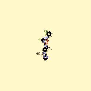 CC(=O)c1cn(CC(=O)N2C[C@H](F)C[C@H]2C(=O)NCc2cccc(Cl)c2F)c2ccc(N(Cc3ncccn3)C(=O)O)cc12